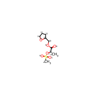 C[C@H](OS(C)(=O)=O)C(=O)OCC1CCCO1